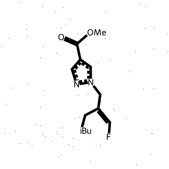 CCC(C)C/C(=C\F)Cn1cc(C(=O)OC)cn1